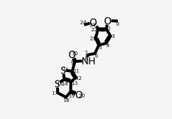 COc1ccc(CCNC(=O)c2cc3c(s2)SCCC3=O)cc1OC